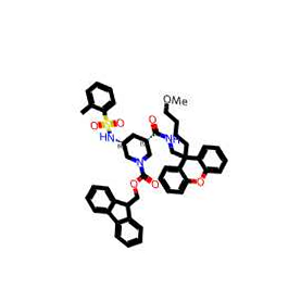 COCCCCC1(CNC(=O)[C@H]2C[C@@H](NS(=O)(=O)c3ccccc3C)CN(C(=O)OCC3c4ccccc4-c4ccccc43)C2)c2ccccc2Oc2ccccc21